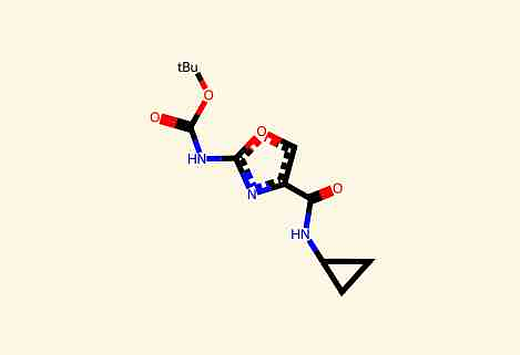 CC(C)(C)OC(=O)Nc1nc(C(=O)NC2CC2)co1